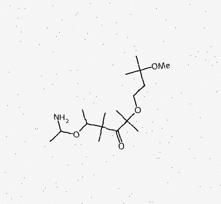 COC(C)(C)CCOC(C)(C)C(=O)C(C)(C)C(C)OC(C)N